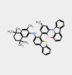 Cc1cc(-c2c(Nc3cc4c(cc3C)C(C)(C)CCC4(C)C)ccc3c2sc2ccccc23)c2c(c1)-n1c3ccccc3c3cccc(c31)B2